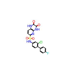 O=c1[nH]c2ccc(S(=O)(=O)Nc3ccc(-c4ccc(F)cc4)c(Cl)c3)nc2[nH]c1=O